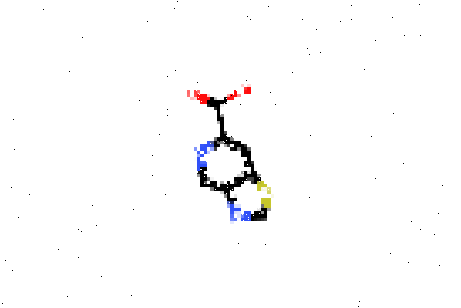 O=C(O)c1cc2scnc2cn1